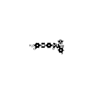 Cc1ccc(N2CCN(c3ccc(-n4cnn(CC(O)(Cn5cncn5)c5ccc(F)cc5F)c4=O)cc3)CC2)cc1Cl